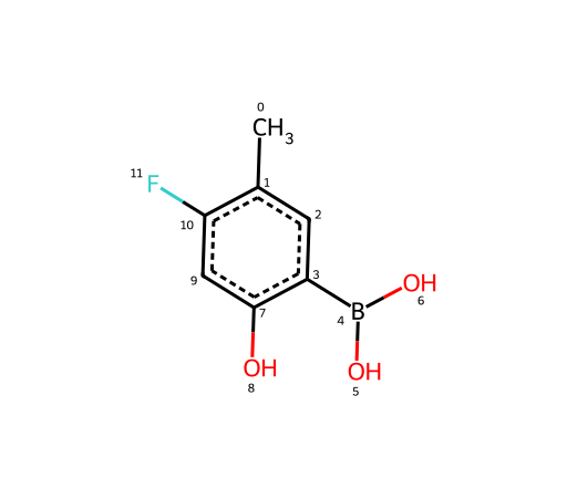 Cc1cc(B(O)O)c(O)cc1F